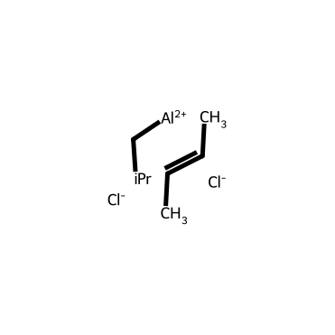 CC(C)[CH2][Al+2].CC=CC.[Cl-].[Cl-]